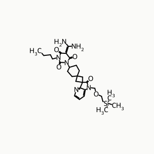 CCCCN1C(=O)C(=C(N)N)C(=O)N(C2CCC3(CC2)CC2(C3)C(=O)N(COCC[Si](C)(C)C)c3cccnc32)C1=O